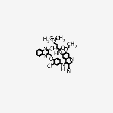 CCOc1cc2ncc(C#N)c(Nc3ccc(OCc4nc5ccccc5nc4C)c(Cl)c3)c2cc1NC(=O)CCCN(C)C